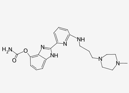 CN1CCN(CCCNc2cccc(-c3nc4c(OC(N)=O)cccc4[nH]3)n2)CC1